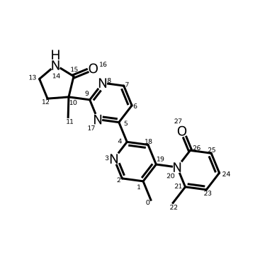 Cc1cnc(-c2ccnc(C3(C)CCNC3=O)n2)cc1-n1c(C)cccc1=O